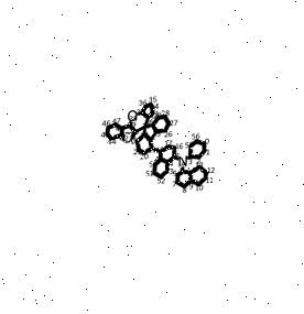 c1ccc(N(c2cccc3ccccc23)c2ccc(-c3cccc4c3-c3ccccc3C43c4ccccc4Oc4c3ccc3ccccc43)c3ccccc23)cc1